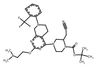 CN(C)CCOc1nc2c(c(N3CCN(C(=O)OC(C)(C)C)C(CC#N)C3)n1)CCN(c1ccccc1C(F)(F)F)C2